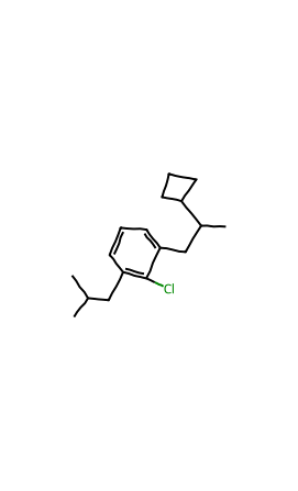 CC(C)Cc1cccc(CC(C)C2CCC2)c1Cl